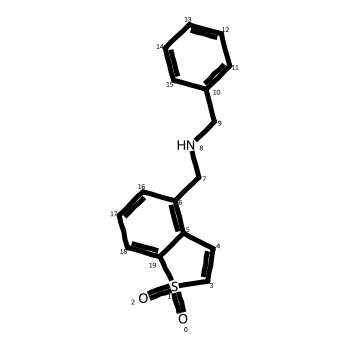 O=S1(=O)C=Cc2c(CNCc3ccccc3)cccc21